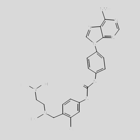 CNc1ncnc2c1ncn2-c1ccc(NC(=O)Nc2ccc(CN(C)CCN(C)C)c(C(F)(F)F)c2)cc1